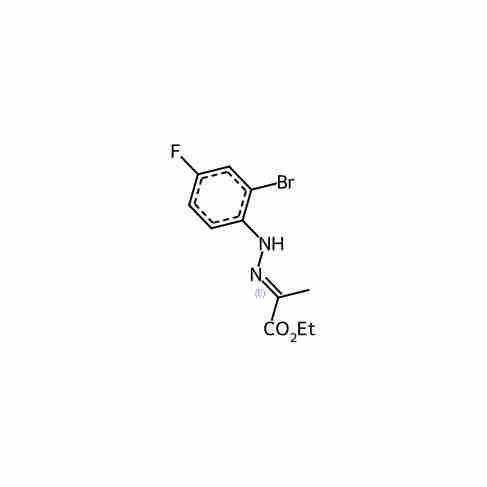 CCOC(=O)/C(C)=N/Nc1ccc(F)cc1Br